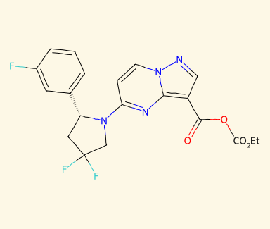 CCOC(=O)OC(=O)c1cnn2ccc(N3CC(F)(F)C[C@@H]3c3cccc(F)c3)nc12